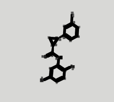 CC(=O)c1ccc(Br)cc1NC(=O)[C@H]1C[C@@H]1c1cccc(Cl)c1